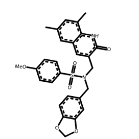 COc1ccc(S(=O)(=O)N(Cc2ccc3c(c2)OCO3)Cc2cc3cc(C)cc(C)c3[nH]c2=O)cc1